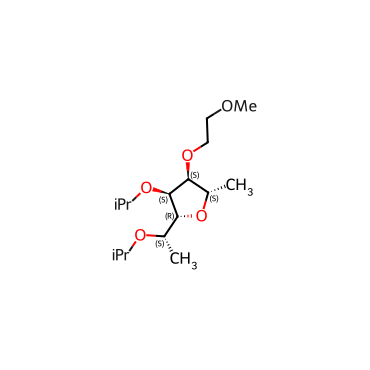 COCCO[C@@H]1[C@H](OC(C)C)[C@@H]([C@H](C)OC(C)C)O[C@H]1C